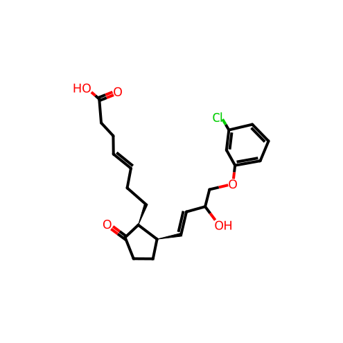 O=C(O)CCC=CCC[C@@H]1C(=O)CC[C@@H]1/C=C/C(O)COc1cccc(Cl)c1